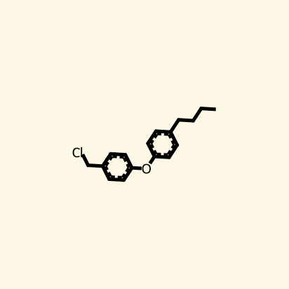 CCCCc1ccc(Oc2ccc(CCl)cc2)cc1